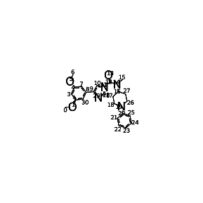 COc1cc(OC)cc(-c2cn(C(=O)N(C)C3CCN(c4ccccc4)CC3)cn2)c1